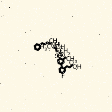 CCc1cc(-c2ccc(F)cc2CCC(=O)O)ccc1S(=O)(=O)N(C)C[C@H](O)CNC(C)(C)CCCc1ccccc1